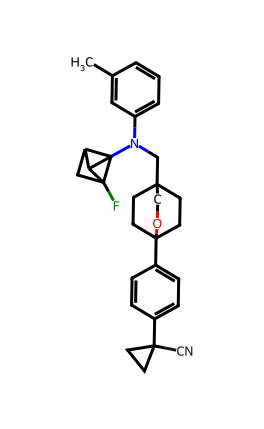 Cc1cccc(N(CC23CCC(c4ccc(C5(C#N)CC5)cc4)(CC2)OC3)C2C3CC2(F)C3)c1